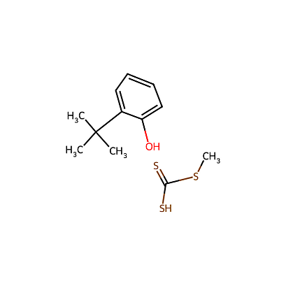 CC(C)(C)c1ccccc1O.CSC(=S)S